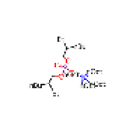 CCCCC(CC)COP(=O)([O-])OCC(CC)CCCC.CCCCCCCC[N+](CCCCCCCC)(CCCCCCCC)CCCCCCCC